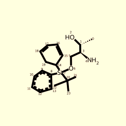 C[C@@H](O)[C@@H](N)CO[Si](c1ccccc1)(C1C=CC=CC1)C(C)(C)C